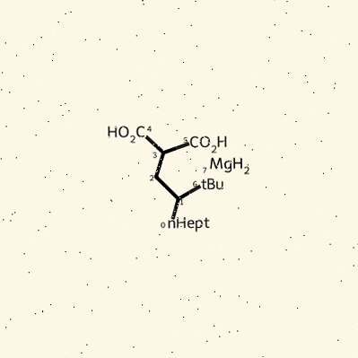 CCCCCCCC(CC(C(=O)O)C(=O)O)C(C)(C)C.[MgH2]